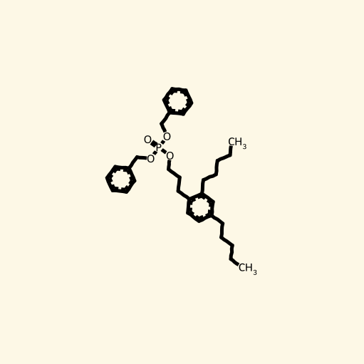 CCCCCc1ccc(CCCOP(=O)(OCc2ccccc2)OCc2ccccc2)c(CCCCC)c1